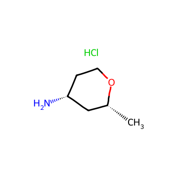 C[C@@H]1C[C@H](N)CCO1.Cl